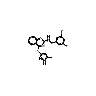 Cc1cc(Nc2nc(NCc3cc(F)cc(F)c3)nc3ccccc23)n[nH]1